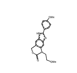 COCCN1C(=O)OCc2cc3[nH]c(-c4ccc(OC)cc4)nc3cc21